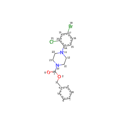 O=C(OCc1ccccc1)N1CCN(c2ccc(Br)cc2Cl)CC1